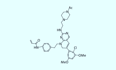 C=CC(=O)Nc1ccc(CCN2CC(c3cc(OC)cc(OC)c3Cl)=Cc3cnc(NCCN4CCN(C(C)=O)CC4)nc32)cc1